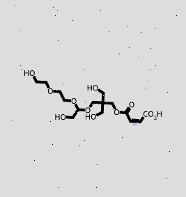 O=C(O)/C=C\C(=O)OCC(CO)(CO)COC(CO)OCCOCCO